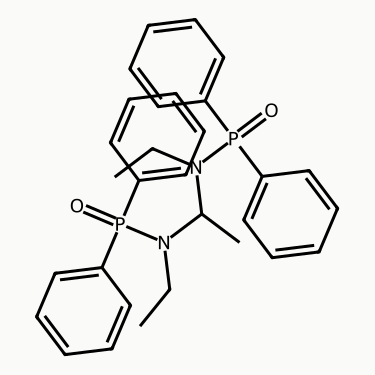 CCN(C(C)N(CC)P(=O)(c1ccccc1)c1ccccc1)P(=O)(c1ccccc1)c1ccccc1